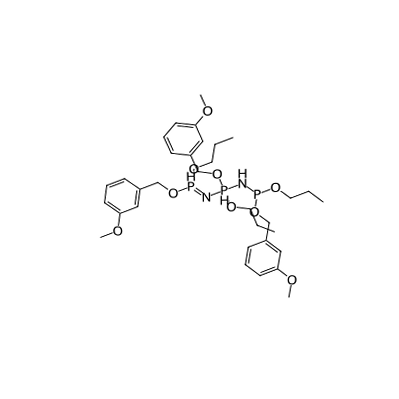 CCCOP(N[PH](N=[PH](OCCC)OCc1cccc(OC)c1)(OCCC)OCc1cccc(OC)c1)OCc1cccc(OC)c1